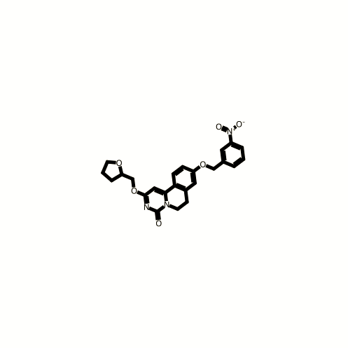 O=c1nc(OCC2CCCO2)cc2n1CCc1cc(OCc3cccc([N+](=O)[O-])c3)ccc1-2